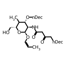 C/C=C\O[C@H]1O[C@H](CO)C(C)[C@H](OCCCCCCCCCC)[C@H]1NC(=O)CC(=O)CCCCCCCCCCC